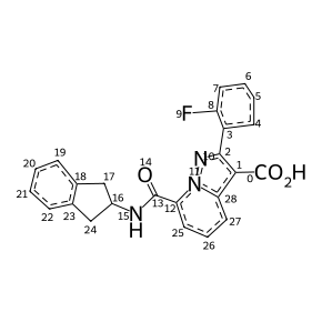 O=C(O)c1c(-c2ccccc2F)nn2c(C(=O)NC3Cc4ccccc4C3)cccc12